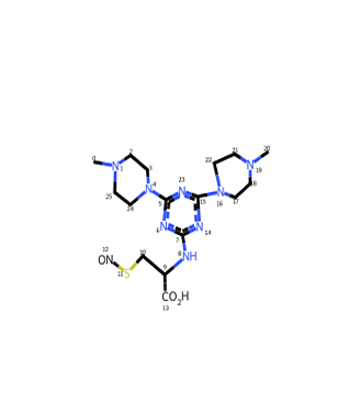 CN1CCN(c2nc(NC(CSN=O)C(=O)O)nc(N3CCN(C)CC3)n2)CC1